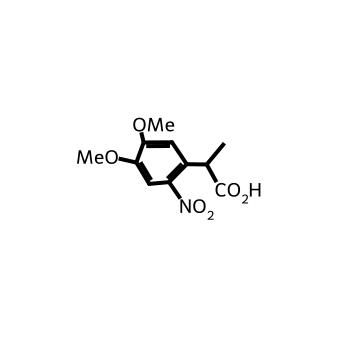 COc1cc(C(C)C(=O)O)c([N+](=O)[O-])cc1OC